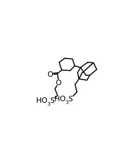 O=C(OCCS(=O)(=O)O)C1CCCC(C23CC4CC(CC(CCS(=O)(=O)O)(C4)C2)C3)C1